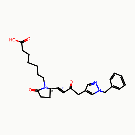 O=C(O)CCCCCCN1C(=O)CC[C@@H]1/C=C/C(=O)Cc1cnn(Cc2ccccc2)c1